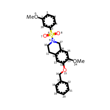 COc1cccc(S(=O)(=O)N2CCc3cc(OCc4ccccc4)c(OC)cc3C2)c1